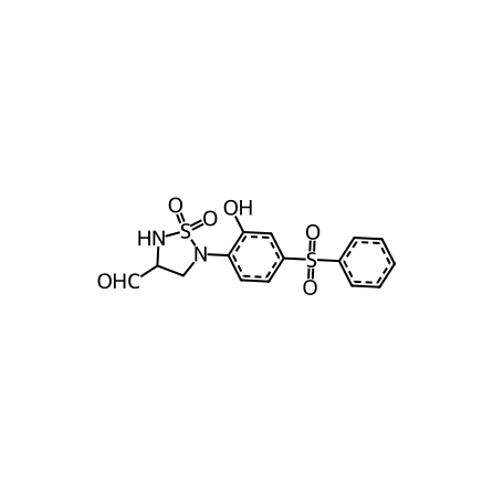 O=CC1CN(c2ccc(S(=O)(=O)c3ccccc3)cc2O)S(=O)(=O)N1